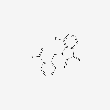 O=C(O)c1ccccc1CN1C(=O)C(=O)c2cccc(F)c21